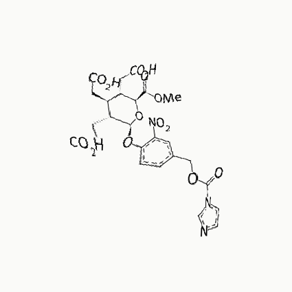 COC(=O)[C@H]1O[C@@H](Oc2ccc(COC(=O)n3ccnc3)cc2[N+](=O)[O-])[C@H](CC(=O)O)[C@@H](CC(=O)O)[C@@H]1CC(=O)O